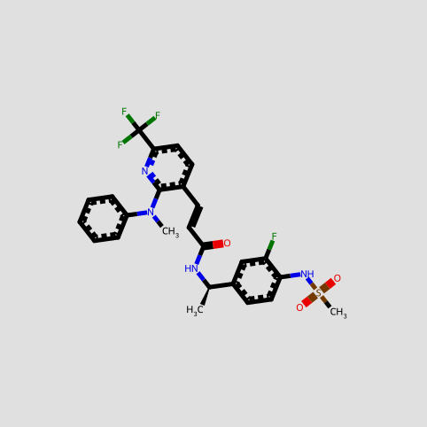 C[C@@H](NC(=O)/C=C/c1ccc(C(F)(F)F)nc1N(C)c1ccccc1)c1ccc(NS(C)(=O)=O)c(F)c1